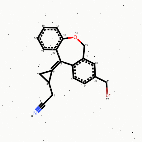 N#CCC1C/C1=C1/c2ccc(CBr)cc2COc2ccccc21